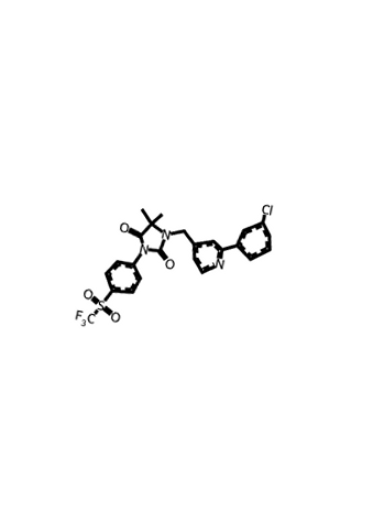 CC1(C)C(=O)N(c2ccc(S(=O)(=O)C(F)(F)F)cc2)C(=O)N1Cc1ccnc(-c2cccc(Cl)c2)c1